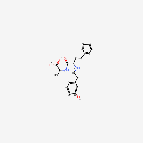 CC(NC(=O)C(CCc1ccccc1)NCCc1cccc(O)c1)C(=O)O